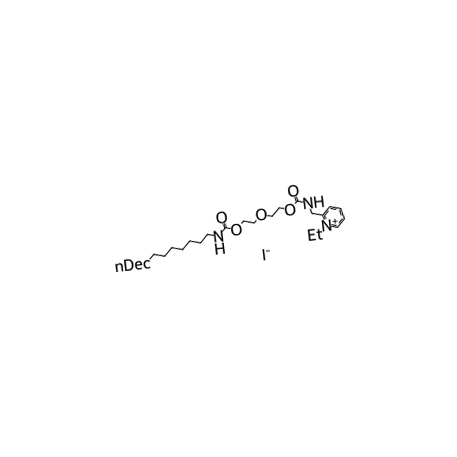 CCCCCCCCCCCCCCCCCNC(=O)OCCOCCOC(=O)NCc1cccc[n+]1CC.[I-]